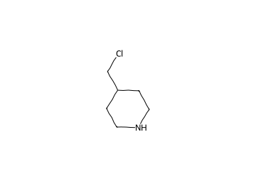 ClCC1CCNCC1